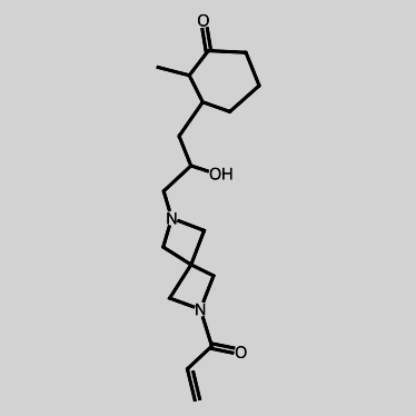 C=CC(=O)N1CC2(CN(CC(O)CC3CCCC(=O)C3C)C2)C1